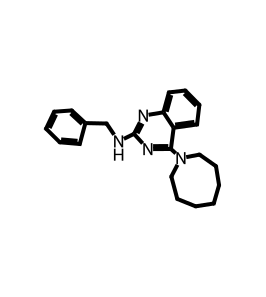 c1ccc(CNc2nc(N3CCCCCCC3)c3ccccc3n2)cc1